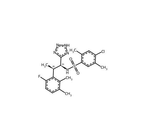 Cc1cc(S(=O)(=O)N[C@H](c2nn[nH]n2)[C@H](C)c2c(F)ccc(C)c2C)c(C)cc1Cl